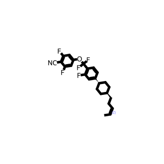 C/C=C\CC[C@H]1CC[C@H](c2ccc(C(F)(F)Oc3cc(F)c(C#N)c(F)c3)c(F)c2)CC1